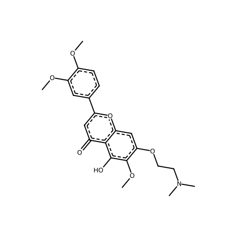 COc1ccc(-c2cc(=O)c3c(O)c(OC)c(OCCN(C)C)cc3o2)cc1OC